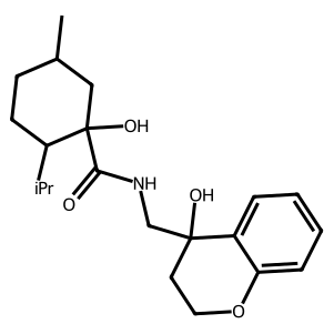 CC1CCC(C(C)C)C(O)(C(=O)NCC2(O)CCOc3ccccc32)C1